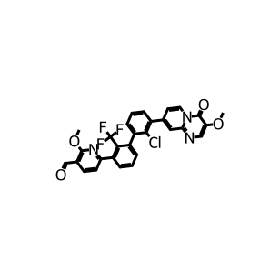 COc1nc(-c2cccc(-c3cccc(-c4ccn5c(=O)c(OC)cnc5c4)c3Cl)c2C(F)(F)F)ccc1C=O